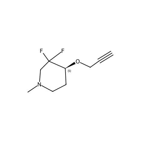 C#CCO[C@H]1CCN(C)CC1(F)F